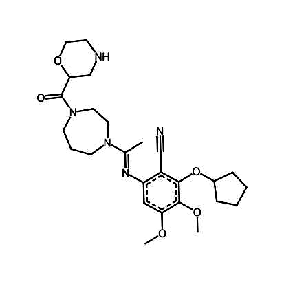 COc1cc(/N=C(\C)N2CCCN(C(=O)C3CNCCO3)CC2)c(C#N)c(OC2CCCC2)c1OC